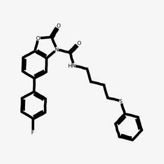 O=C(NCCCCSc1ccccc1)n1c(=O)oc2ccc(-c3ccc(F)cc3)cc21